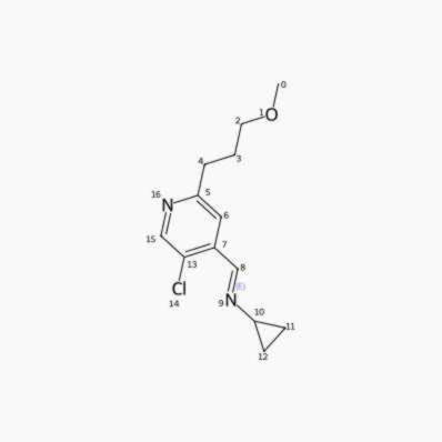 COCCCc1cc(/C=N/C2CC2)c(Cl)cn1